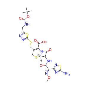 CO/N=C(/C(=O)NC1C(=O)N2C(C(=O)O)=C(CSc3nnc(CNC(=O)OC(C)(C)C)s3)CS[C@H]12)c1nsc(N)n1